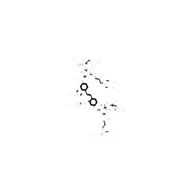 CCN(CC)CCCNc1nc(Nc2ccc(/C=C/c3ccc(Nc4nc(NCCCN(CC)CC)nc(NC(C)(C)CO)n4)cc3S(=O)(=O)O)c(SOOO)c2)nc(NC(C)(C)CO)n1